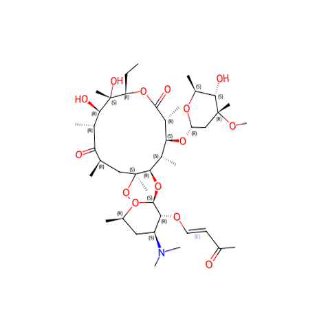 CC[C@H]1OC(=O)[C@H](C)[C@@H](O[C@H]2C[C@@](C)(OC)[C@@H](O)[C@H](C)O2)[C@H](C)[C@@H](O[C@@H]2O[C@H](C)C[C@H](N(C)C)[C@H]2O/C=C/C(C)=O)[C@@](C)(OC)C[C@@H](C)C(=O)[C@H](C)[C@@H](O)[C@]1(C)O